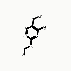 CCSc1ncc(CCl)c(N)n1